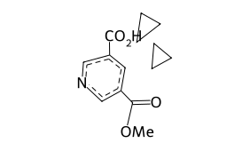 C1CC1.C1CC1.COC(=O)c1cncc(C(=O)O)c1